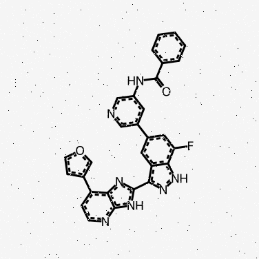 O=C(Nc1cncc(-c2cc(F)c3[nH]nc(-c4nc5c(-c6ccoc6)ccnc5[nH]4)c3c2)c1)c1ccccc1